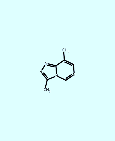 Cc1cncn2c(C)nnc12